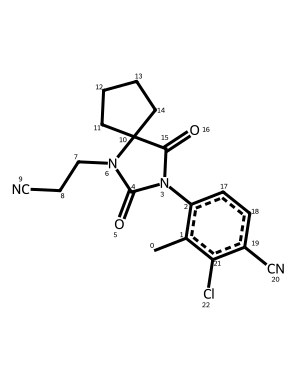 Cc1c(N2C(=O)N(CCC#N)C3(CCCC3)C2=O)ccc(C#N)c1Cl